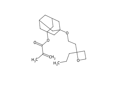 C=C(C)C(=O)OC12CC3CC(CC(OCCC4(CCC)CCO4)(C3)C1)C2